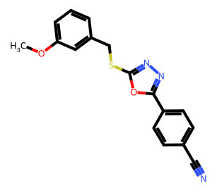 COc1cccc(CSc2nnc(-c3ccc(C#N)cc3)o2)c1